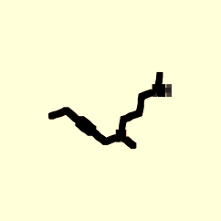 CCC#CCN(C)CCCNC